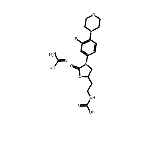 NC(O)=S.O=C1OC(CCNC(O)=S)CN1c1ccc(N2CCOCC2)c(F)c1